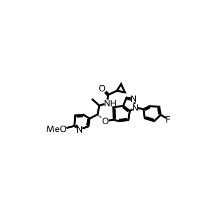 COc1ccc([C@@H](Oc2ccc3c(cnn3-c3ccc(F)cc3)c2)C(C)NC(=O)C2CC2)cn1